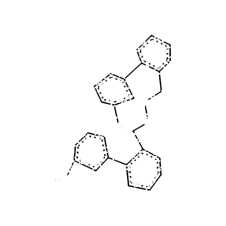 Cc1cccc(-c2ccccc2COOCc2ccccc2-c2cccc(C)c2)c1